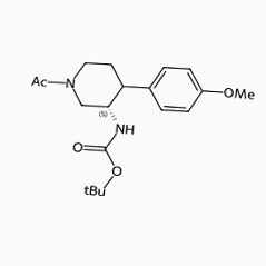 COc1ccc(C2CCN(C(C)=O)C[C@H]2NC(=O)OC(C)(C)C)cc1